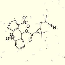 CC(C#N)=CC1C(C(=O)OC(c2ccccc2[N+](=O)[O-])c2ccccc2[N+](=O)[O-])C1(C)C